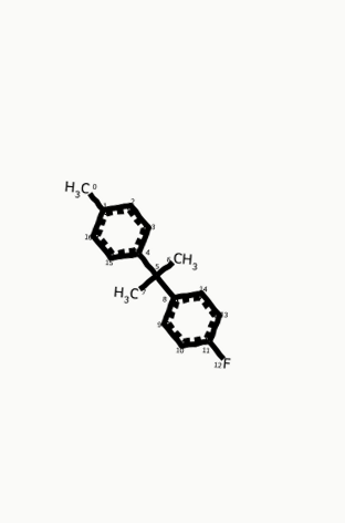 Cc1ccc(C(C)(C)c2ccc(F)cc2)cc1